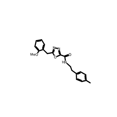 COc1ccccc1Cc1nnc(C(=O)NCCc2ccc(C)cc2)o1